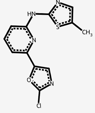 Cc1cnc(Nc2cccc(-c3cnc(Cl)o3)n2)s1